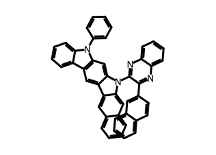 c1ccc(-n2c3ccccc3c3cc4c5cc6ccccc6cc5n(-c5nc6ccccc6nc5-c5ccc6ccccc6c5)c4cc32)cc1